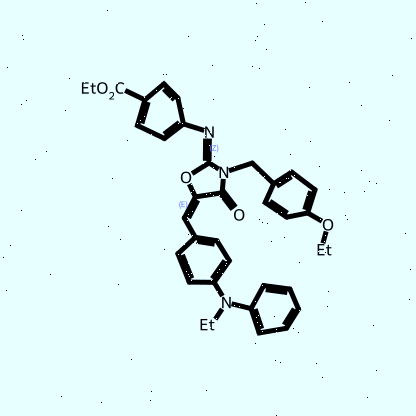 CCOC(=O)c1ccc(/N=C2\O/C(=C/c3ccc(N(CC)c4ccccc4)cc3)C(=O)N2Cc2ccc(OCC)cc2)cc1